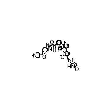 COc1nc(-c2ccnc(-c3cccc(NC(=O)c4nc5c(n4C)CCN(C(=O)C4CCN(C)CC4)C5)c3Cl)c2Cl)ccc1CNCC1CCC(=O)N1